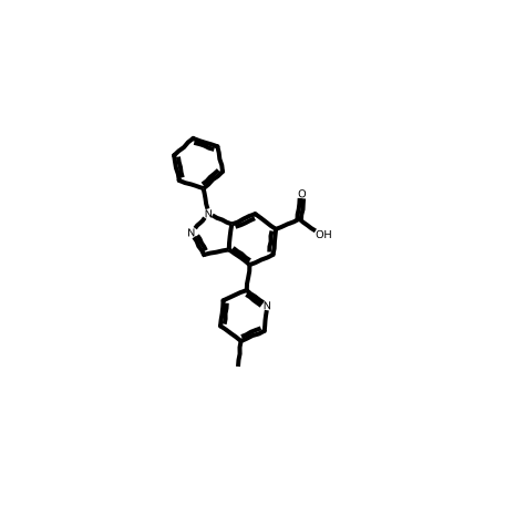 Cc1ccc(-c2cc(C(=O)O)cc3c2cnn3-c2ccccc2)nc1